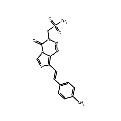 Cc1ccc(/C=C/c2ncn3c(=O)n(CS(C)(=O)=O)nnc23)cc1